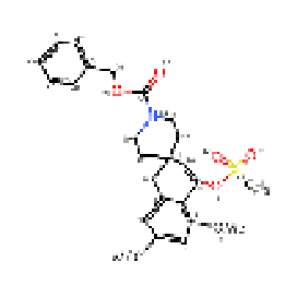 COc1cc2c(c(OC)c1)C(OS(C)(=O)=O)=CC1(CCN(C(=O)OCc3ccccc3)CC1)C2